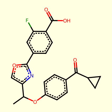 CC(Oc1ccc(C(=O)C2CC2)cc1)c1coc(-c2ccc(C(=O)O)c(F)c2)n1